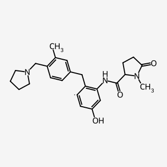 Cc1cc(Cc2[c]cc(O)cc2NC(=O)C2CCC(=O)N2C)ccc1CN1CCCC1